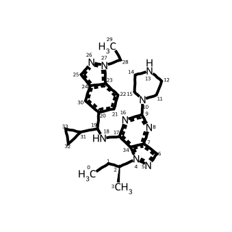 CC[C@H](C)n1ncc2nc(N3CCNCC3)nc(NC(c3ccc4c(cnn4CC)c3)C3CC3)c21